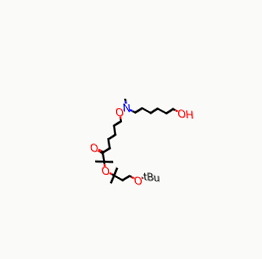 CN(CCCCCCO)OCCCCCC(=O)C(C)(C)OC(C)(C)CCOC(C)(C)C